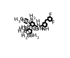 Bc1cc(C(=O)Nc2n[nH]c3ccc(Cc4cc(F)cc(F)c4)cc23)c(NC2CC(B)(B)OC(B)(B)C2)c(B)c1N1CCN(C)CC1